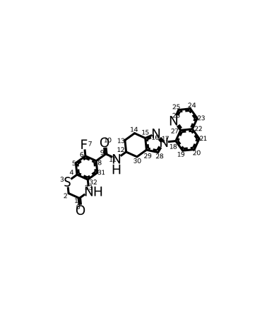 O=C1CSc2cc(F)c(C(=O)NC3CCc4nn(-c5cccc6cccnc56)cc4C3)cc2N1